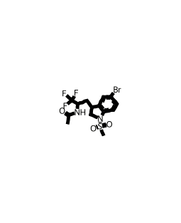 CC(=O)NC(CC1CN(S(C)(=O)=O)c2ccc(Br)cc21)C(F)(F)F